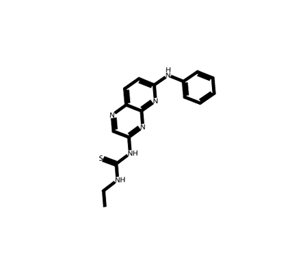 CCNC(=S)Nc1cnc2ccc(Nc3ccccc3)nc2n1